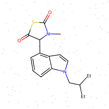 CCC(CC)Cn1ccc2c(C3C(=O)SC(=O)N3C)cccc21